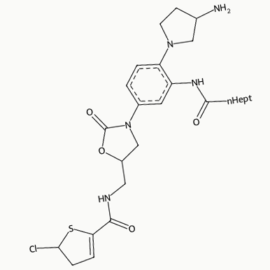 CCCCCCCC(=O)Nc1cc(N2CC(CNC(=O)C3=CCC(Cl)S3)OC2=O)ccc1N1CCC(N)C1